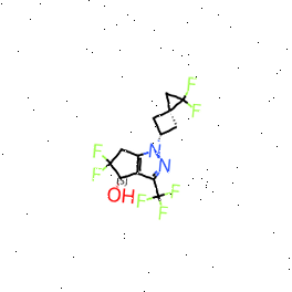 O[C@H]1c2c(C(F)(F)F)nn([C@H]3C[C@@]4(CC4(F)F)C3)c2CC1(F)F